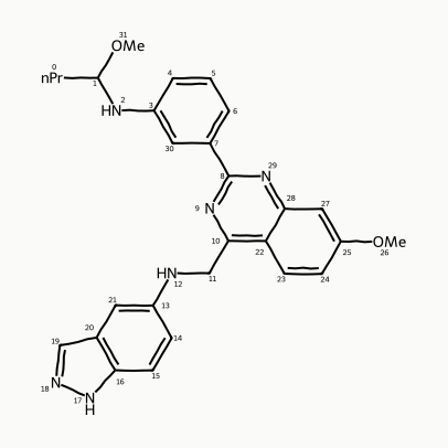 CCCC(Nc1cccc(-c2nc(CNc3ccc4[nH]ncc4c3)c3ccc(OC)cc3n2)c1)OC